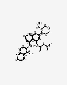 C[C@H](CN(C)C)Oc1cc(N2CCOC[C@@H]2CO)cc2ncnc(Nc3ccc4ncccc4c3F)c12